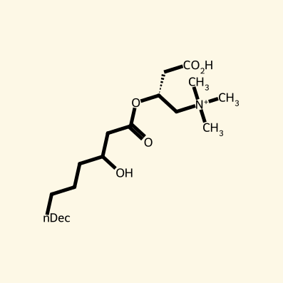 CCCCCCCCCCCCCC(O)CC(=O)O[C@H](CC(=O)O)C[N+](C)(C)C